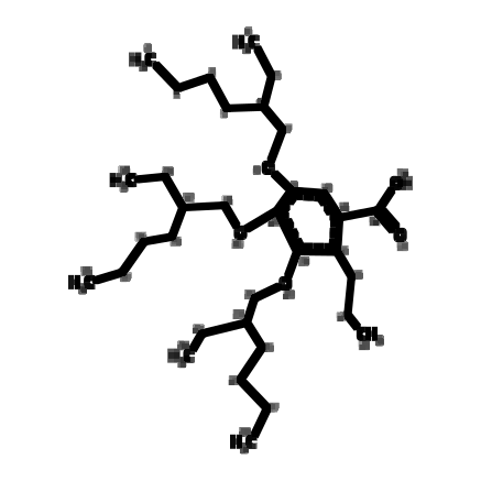 CCCCC(CC)COc1cc(C(=O)O)c(CCC)c(OCC(CC)CCCC)c1OCC(CC)CCCC